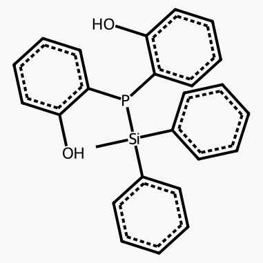 C[Si](c1ccccc1)(c1ccccc1)P(c1ccccc1O)c1ccccc1O